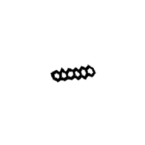 C1=c2cc3cc4cc5cc6ccccc6cc5cc4cc3cc2=CCC1